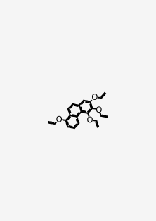 C=COc1cc2ccc3c(OC=C)cccc3c2c(OC=C)c1OC=C